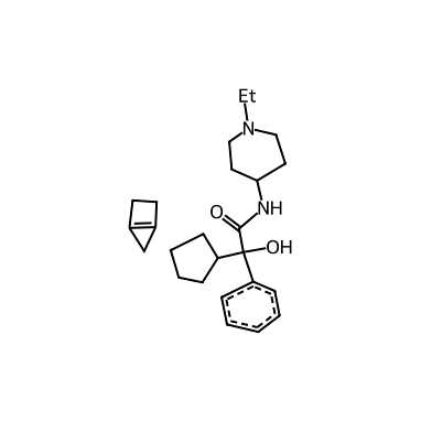 C1CC2=C1C2.CCN1CCC(NC(=O)C(O)(c2ccccc2)C2CCCC2)CC1